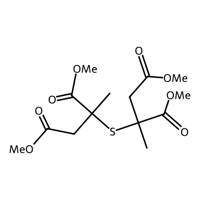 COC(=O)CC(C)(SC(C)(CC(=O)OC)C(=O)OC)C(=O)OC